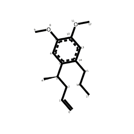 C=CC[C@@H](C)c1cc(OC)c(OC)cc1CCC